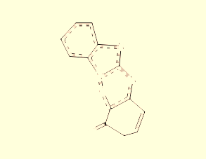 O=C1CC=Cc2nc3nc4ccccc4n3cc21